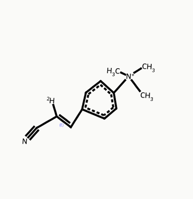 [2H]/C(C#N)=C\c1ccc([N+](C)(C)C)cc1